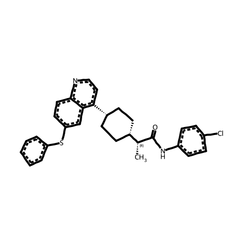 C[C@@H](C(=O)Nc1ccc(Cl)cc1)[C@H]1CC[C@@H](c2ccnc3ccc(Sc4ccccc4)cc32)CC1